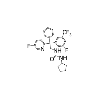 O=C(NCC(c1ccccc1)(c1cc(F)cc(C(F)(F)F)c1)c1ccc(F)cn1)NC1CCCC1